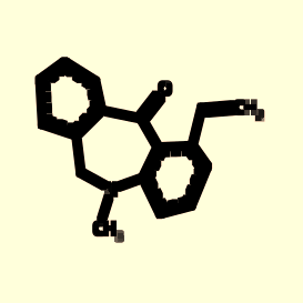 C=Cc1cccc2c1C(=O)c1ccccc1CN2C